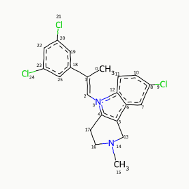 C/C(=C\n1c2c(c3cc(Cl)ccc31)CN(C)CC2)c1cc(Cl)cc(Cl)c1